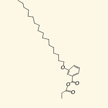 CCCCCCCCCCCCCCCCCCOc1cccc(C(=O)OC(=O)CC)c1